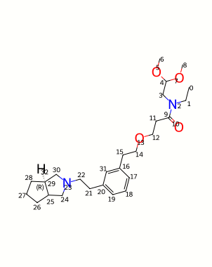 CCN(CC(OC)OC)C(=O)CCOCCc1cccc(CCN2CC3CCC[C@H]3C2)c1